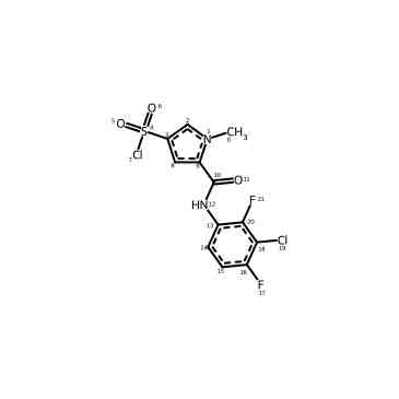 Cn1cc(S(=O)(=O)Cl)cc1C(=O)Nc1ccc(F)c(Cl)c1F